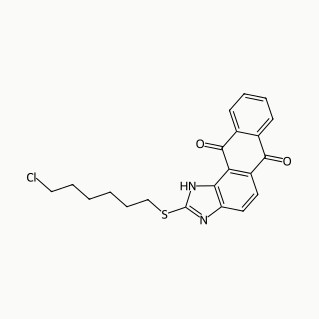 O=C1c2ccccc2C(=O)c2c1ccc1nc(SCCCCCCCl)[nH]c21